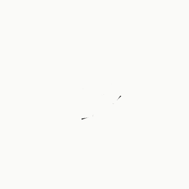 C=C1[C@@H]2CC[C@@H](C2)[C@@]1(C)/C=C/C=O